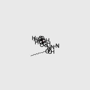 CCCCCCCCCCCCCCOc1cn(Cc2ccccc2)c(CNCCCN(C)C)cc1=O.O.O=C(O)C(=O)O.O=C(O)C(=O)O